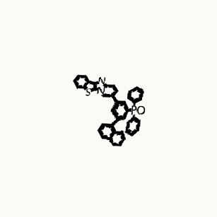 O=P(c1ccccc1)(c1ccccc1)c1cc(-c2ccc3nc4c5ccccc5sc4n3c2)cc(-c2cccc3ccccc23)c1